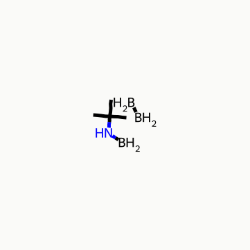 BB.BNC(C)(C)C